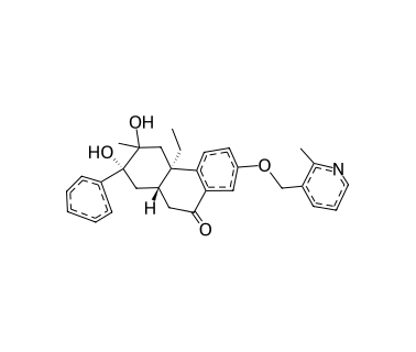 CC[C@@]12CC(C)(O)[C@](O)(c3ccccc3)C[C@H]1CC(=O)c1cc(OCc3cccnc3C)ccc12